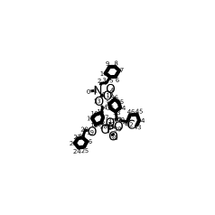 CN(CC(=O)c1ccccc1)C(=O)OCc1ccc(OCc2ccccc2)c(OP(=O)(OCc2ccccc2)OCc2ccccc2)c1